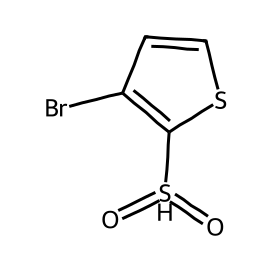 O=[SH](=O)c1sccc1Br